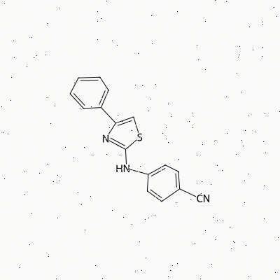 N#Cc1ccc(Nc2nc(-c3ccccc3)cs2)cc1